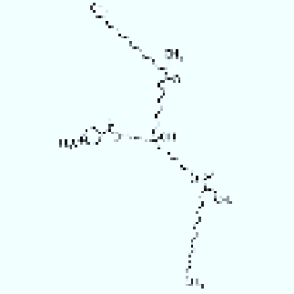 CCCCCCCCCCCCC(CC)C(=O)OCCCCCCC(O)(CCCCCCOC(=O)C(CC)CCCCCCCCCCCC)CCCCOC(=O)C1CCN(C)CC1